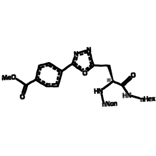 CCCCCCCCCN[C@@H](Cc1nnc(-c2ccc(C(=O)OC)cc2)o1)C(=O)NCCCCCC